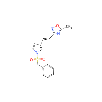 O=S(=O)(Cc1ccccc1)n1ccc(C=Cc2noc(C(F)(F)F)n2)c1